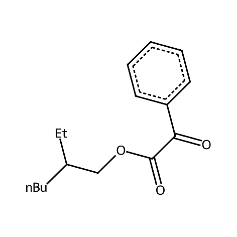 CCCCC(CC)COC(=O)C(=O)c1ccccc1